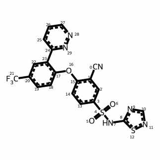 N#Cc1cc(S(=O)(=O)Nc2ncns2)ccc1Oc1ccc(C(F)(F)F)cc1-c1cccnn1